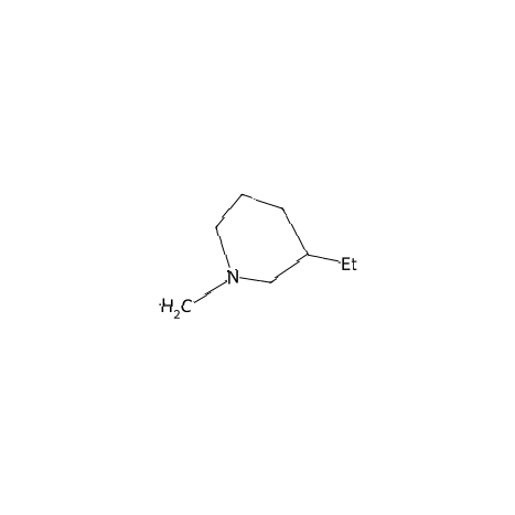 [CH2]N1CCCC(CC)C1